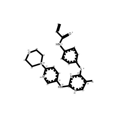 C=CC(=O)Nc1ccc(Sc2nc(Nc3ccc(N4CCOCC4)nc3)ncc2C)cc1